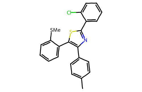 CSc1ccccc1-c1sc(-c2ccccc2Cl)nc1-c1ccc(C)cc1